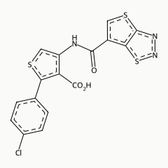 O=C(O)c1c(NC(=O)c2csc3nnsc23)csc1-c1ccc(Cl)cc1